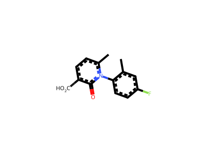 Cc1cc(F)ccc1-n1c(C)ccc(C(=O)O)c1=O